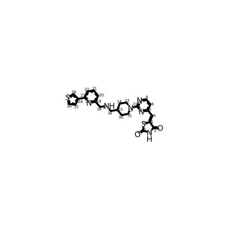 O=C1NC(=O)C(=Cc2ccnc(N3CCC(CNCc4cccc(-c5ccsc5)n4)CC3)n2)S1